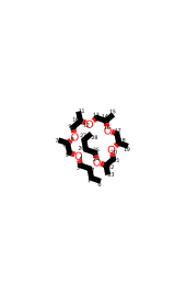 CCCCOCC(C)OCC(C)OCC(C)OCC(C)OCC(C)OCCCC